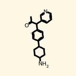 CC(=O)C(c1[c]cc(C2CCC(N)CC2)cc1)c1cccnc1